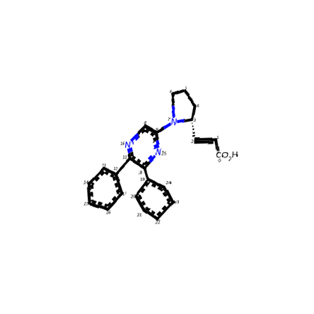 O=C(O)C=C[C@H]1CCCN1c1cnc(-c2ccccc2)c(-c2ccccc2)n1